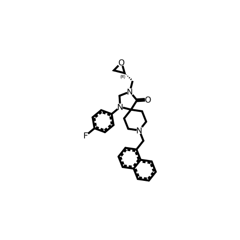 O=C1N(C[C@@H]2CO2)CN(c2ccc(F)cc2)C12CCN(Cc1cccc3ccccc13)CC2